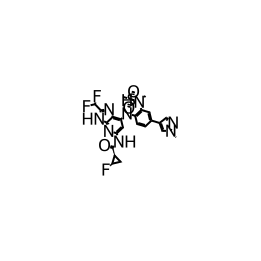 CN(c1cc(-c2cnn(C)c2)ccc1Nc1cc(NC(=O)[C@H]2C[C@H]2F)nc2[nH]c(C(F)F)nc12)S(C)(=O)=O